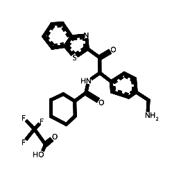 NCc1ccc(C(NC(=O)C2CCCCC2)C(=O)c2nc3ccccc3s2)cc1.O=C(O)C(F)(F)F